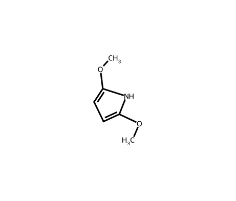 COc1ccc(OC)[nH]1